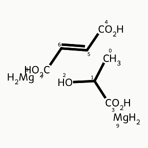 CC(O)C(=O)O.O=C(O)/C=C/C(=O)O.[MgH2].[MgH2]